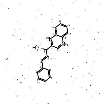 CC(C=Cc1ccccc1)c1cnc2ccccc2n1